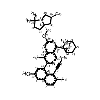 [2H]C#Cc1c(F)ccc2cc(O)cc(-c3ncc4c(N5CC6CCC5CN6)nc(OC[C@]56CCC([2H])([2H])N5C[C@@H](F)C6)nc4c3F)c12